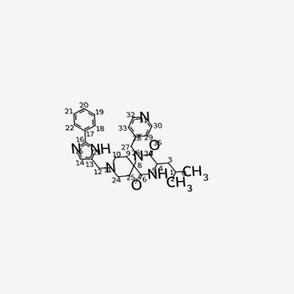 CC(C)CC1NC(=O)C2(CCN(Cc3cnc(-c4ccccc4)[nH]3)CC2)N(Cc2ccncc2)C1=O